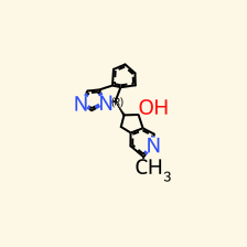 Cc1cc2c(cn1)C(O)C([C@@H]1c3ccccc3-c3cncn31)C2